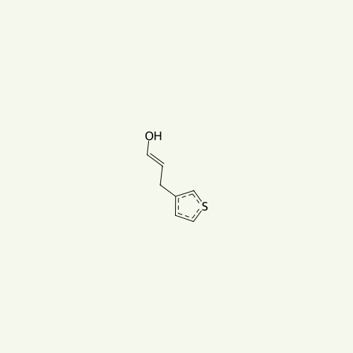 OC=CCc1ccsc1